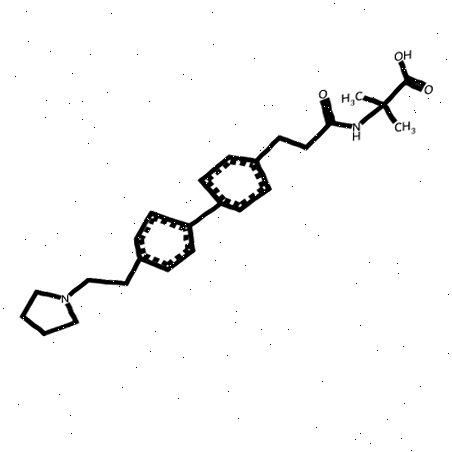 CC(C)(NC(=O)CCc1ccc(-c2ccc(CCN3CCCC3)cc2)cc1)C(=O)O